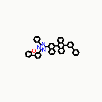 c1ccc(-c2cccc(-c3c4ccccc4c(-c4ccc(-c5nc(-c6ccccc6)nc(-c6cccc7c6oc6ccccc67)n5)c5ccccc45)c4ccccc34)c2)cc1